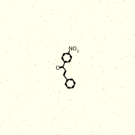 O=C(C=Cc1ccccc1)c1ccc([N+](=O)[O-])cc1